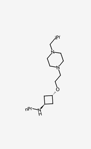 CCCN[C@H]1C[C@H](OCCN2CCN(CC(C)C)CC2)C1